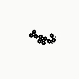 c1ccc(C2(c3ccccc3)c3cc(-c4ccc5c6ccccc6c6ccccc6c5c4)ccc3-c3ccc(-c4ccc5oc6ccc7oc8ccccc8c7c6c5c4)cc32)cc1